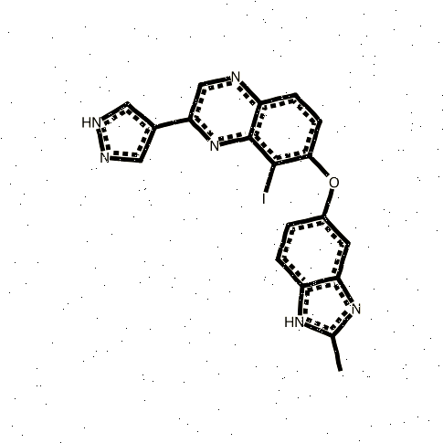 Cc1nc2cc(Oc3ccc4ncc(-c5cn[nH]c5)nc4c3I)ccc2[nH]1